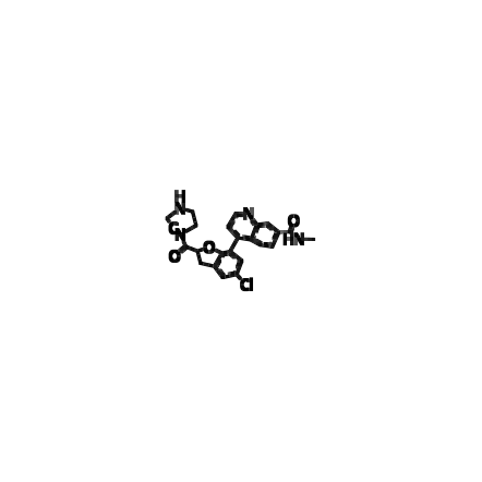 CNC(=O)c1ccc2c(-c3cc(Cl)cc4c3OC(C(=O)N3CCNCC3)C4)ccnc2c1